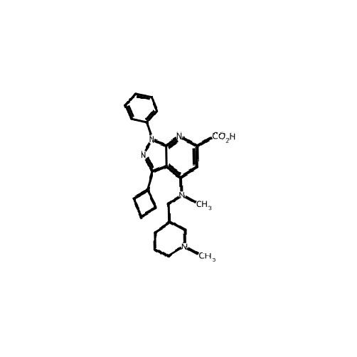 CN1CCCC(CN(C)c2cc(C(=O)O)nc3c2c(C2CCC2)nn3-c2ccccc2)C1